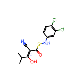 CC(C)/C(O)=C(\C#N)C(=O)SNc1ccc(Cl)c(Cl)c1